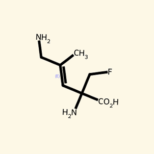 C/C(=C\C(N)(CF)C(=O)O)CN